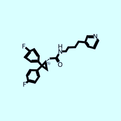 O=C(C[C@@H]1CC1(c1ccc(F)cc1)c1ccc(F)cc1)NCCCCc1cccnc1